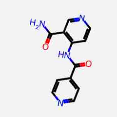 NC(=O)c1cnccc1NC(=O)c1ccncc1